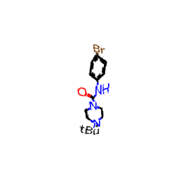 CC(C)(C)N1CCN(C(=O)Nc2ccc(Br)cc2)CC1